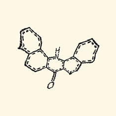 O=c1c2ccc3ccccc3c2[nH]c2c1ccc1ccccc12